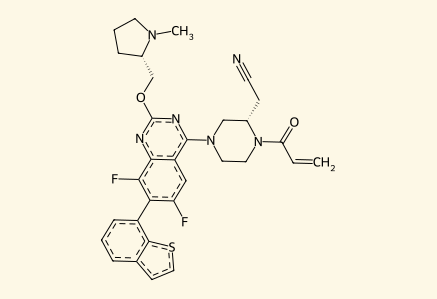 C=CC(=O)N1CCN(c2nc(OC[C@@H]3CCCN3C)nc3c(F)c(-c4cccc5ccsc45)c(F)cc23)C[C@@H]1CC#N